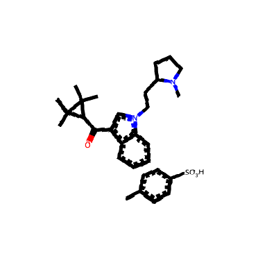 CN1CCCC1CCn1cc(C(=O)C2C(C)(C)C2(C)C)c2ccccc21.Cc1ccc(S(=O)(=O)O)cc1